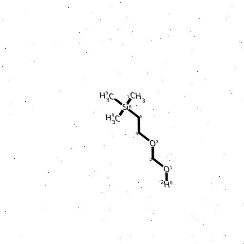 [2H]OCOCC[Si](C)(C)C